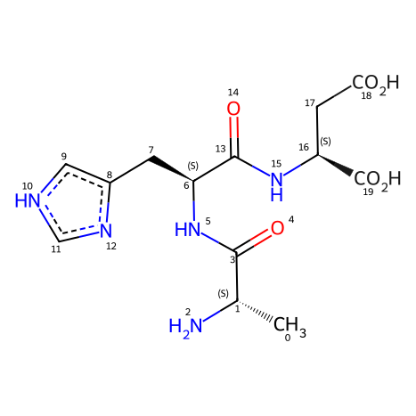 C[C@H](N)C(=O)N[C@@H](Cc1c[nH]cn1)C(=O)N[C@@H](CC(=O)O)C(=O)O